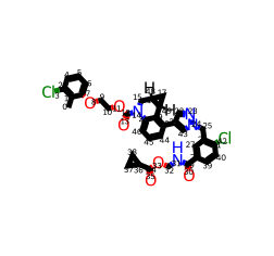 Cc1c(Cl)cccc1OCCOC(=O)N1C[C@@H]2C[C@@H]2c2c(-c3cnn(Cc4cc(C(=O)NCOC(=O)C5CC5)ccc4Cl)c3)cccc21